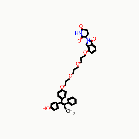 CCC(=C(c1ccc(O)cc1)c1ccc(OCCCOCCCOCCCOc2cccc3c2CN(C2CCC(=O)NC2=O)C3=O)cc1)c1ccccc1